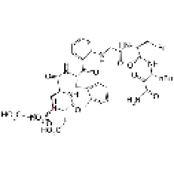 CCCCC(NC(=O)[C@H](CC(C)C)NC(=O)CNc1ccccc1C(=O)[C@H](Cc1ccccc1C)NC(=O)[C@H](CCC(=O)O)NC(=O)[C@H](CC(=O)O)NC(=O)CCC(=O)O)C(=O)C(N)=O